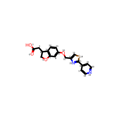 O=C(O)CC1COc2cc(OCc3csc(-c4ccncc4)n3)ccc21